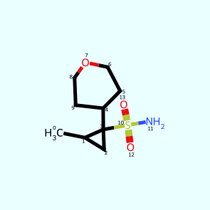 CC1CC1(C1CCOCC1)S(N)(=O)=O